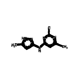 Cc1cc(Nc2cc(C)[nH]n2)nc(Cl)n1